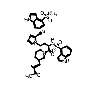 C/C(=C\C1CCCN(C(=O)C(CCn2cccc2C#N)NS(=O)(=O)c2cccc3[nH]ccc23)C1)C(=O)O.NS(=O)(=O)c1cccc2[nH]ccc12